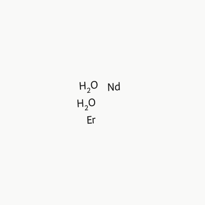 O.O.[Er].[Nd]